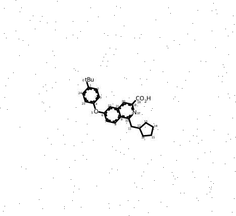 CC(C)(C)c1ccc(Oc2ccc3c(CC4CCCC4)nc(C(=O)O)cc3c2)cc1